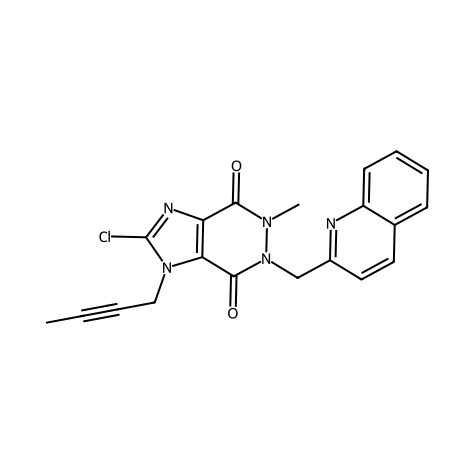 CC#CCn1c(Cl)nc2c(=O)n(C)n(Cc3ccc4ccccc4n3)c(=O)c21